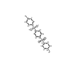 Cc1ccc(S(=O)(=O)c2ccc(S(=O)(=O)c3ccc(C)cc3)cc2)cc1